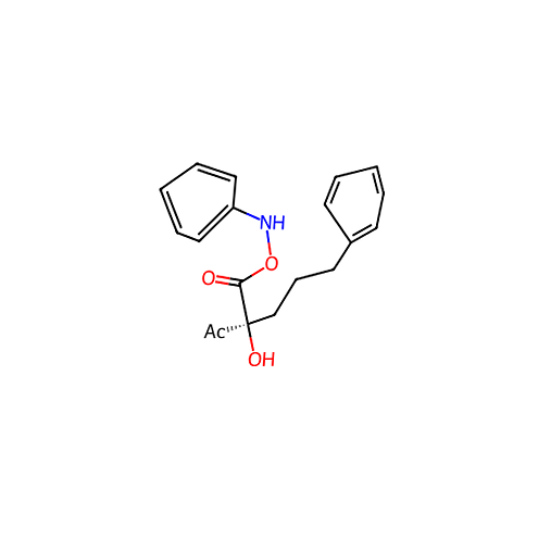 CC(=O)[C@@](O)(CCCc1ccccc1)C(=O)ONc1ccccc1